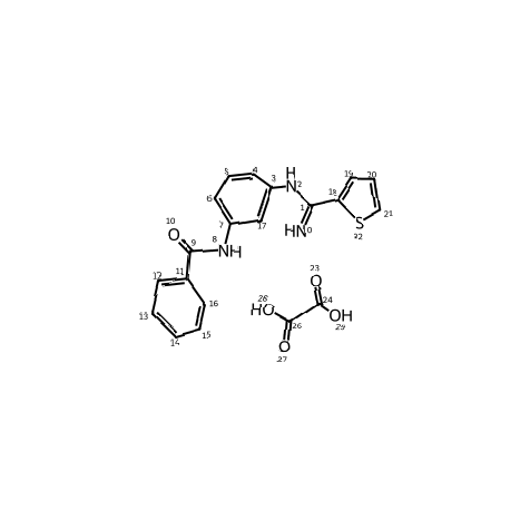 N=C(Nc1cccc(NC(=O)c2ccccc2)c1)c1cccs1.O=C(O)C(=O)O